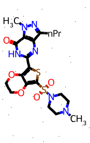 CCCc1nn(C)c2c(=O)[nH]c(-c3sc(S(=O)(=O)N4CCN(C)CC4)c4c3OCCO4)nc12